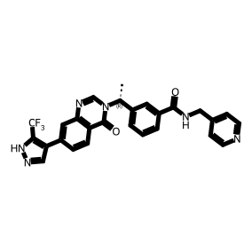 C[C@H](c1cccc(C(=O)NCc2ccncc2)c1)n1cnc2cc(-c3cn[nH]c3C(F)(F)F)ccc2c1=O